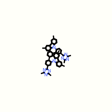 Cc1ccc2c(c1)c1cc(C)ccc1n2-c1ccc(-c2nc(C)nc(C)n2)cc1-c1cccc(-c2ccc(-c3nc(C)nc(C)n3)cc2-n2c3ccc(C)cc3c3cc(C)ccc32)c1